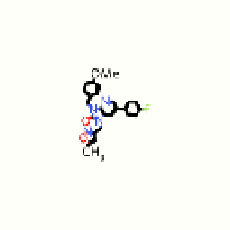 COc1ccc(Cn2c(=O)n(Cc3cc(C)on3)c3cc(-c4ccc(F)cc4)cnc32)cc1